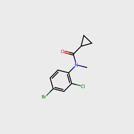 CN(C(=O)C1CC1)c1ccc(Br)cc1Cl